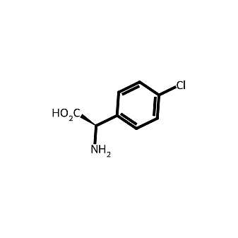 N[C@@H](C(=O)O)c1ccc(Cl)cc1